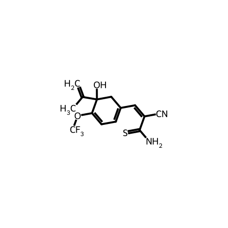 C=C(C)C1(O)CC(C=C(C#N)C(N)=S)=CC=C1OC(F)(F)F